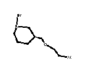 CC(=O)CCOC[C@H]1CCCN(C(C)C)C1